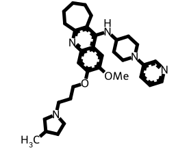 COc1cc2c(NC3CCN(c4cccnc4)CC3)c3c(nc2cc1OCCCN1CCC(C)C1)CCCCC3